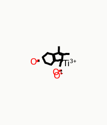 CC1=C(C)[C](C)([Ti+3])C2=C1CCCC2.C[O-].C[O-].C[O-]